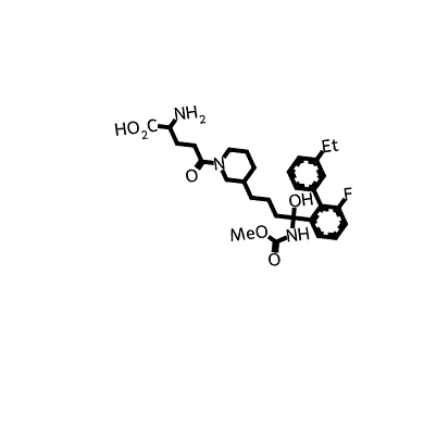 CCc1cccc(-c2c(F)cccc2C(O)(CCCC2CCCN(C(=O)CCC(N)C(=O)O)C2)NC(=O)OC)c1